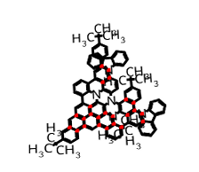 CC(C)(C)c1ccc(C2=CC(c3cccc(-c4cccc(-c5ccc(C(C)(C)C)cc5)c4)c3N3c4cc(-n5c6ccccc6c6ccccc65)ccc4N4c5ccc(-n6c7ccccc7c7ccccc76)cc5N(c5c(-c6cccc(-c7ccc(C(C)(C)C)cc7)c6)cccc5-c5cccc(-c6ccc(C(C)(C)C)cc6)c5)c5cc(-c6ccccc6)cc3c54)=CCC2)cc1